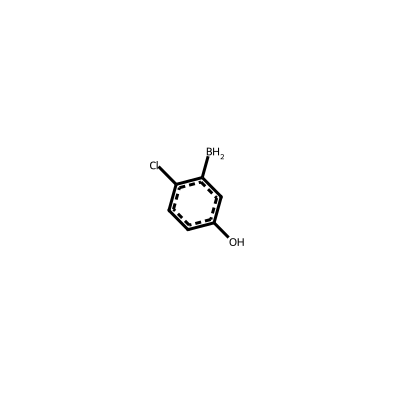 Bc1cc(O)ccc1Cl